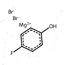 Oc1ccc(F)cc1.[Br-].[Br-].[Mg+2]